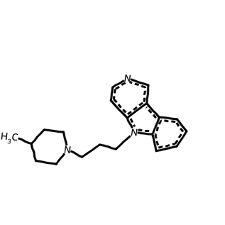 CC1CCN(CCCn2c3ccccc3c3cnccc32)CC1